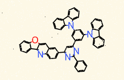 c1ccc(-c2nc(-c3cc(-n4c5ccccc5c5ccccc54)cc(-n4c5ccccc5c5ccccc54)c3)cc(-c3ccc4nc5c(cc4c3)oc3ccccc35)n2)cc1